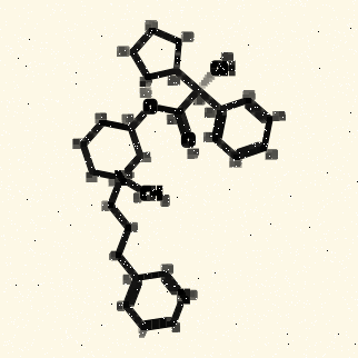 C[N+]1(CCCc2cccnc2)CCCC(OC(=O)[C@](O)(c2ccccc2)C2CCCC2)C1